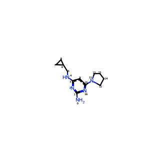 Nc1nc(NCC2CC2)cc(N2CCCC2)n1